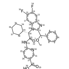 COC(c1ccccc1)c1nc2cc(F)c(F)cc2n1[C@H](C(=O)Nc1ccc(C(=O)O)cn1)C1CCCCC1